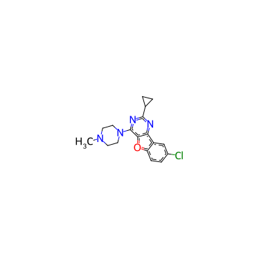 CN1CCN(c2nc(C3CC3)nc3c2oc2ccc(Cl)cc23)CC1